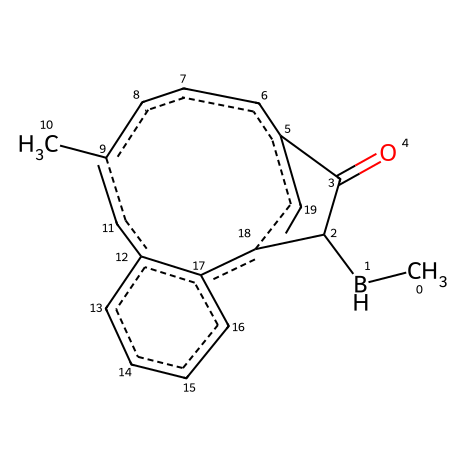 CBC1C(=O)c2cccc(C)cc3ccccc3c1c2